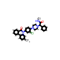 CCNC(=O)C(c1ccccc1)N1CCN(c2ccc(NC(=O)c3ccccc3-c3ccc(C(F)(F)F)cc3)cc2Cl)CC1